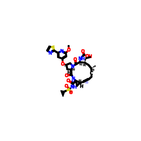 CC[C@@H]1C[C@H](C)CC/C=C\[C@@H]2CC2(C(=O)NS(=O)(=O)C2CC2)NC(=O)[C@@H]2C[C@@H](Oc3cc(OC)nc(-c4nccs4)c3)CN2C(=O)[C@H]1NC(=O)O